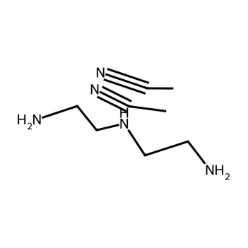 CC#N.CC#N.NCCNCCN